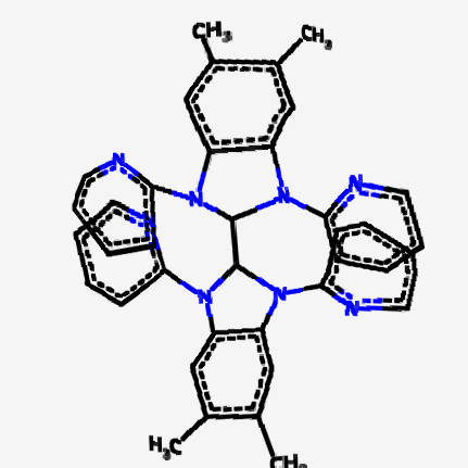 Cc1cc2c(cc1C)N(c1ccccn1)C(C1N(c3ccccn3)c3cc(C)c(C)cc3N1c1ccccn1)N2c1ccccn1